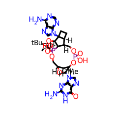 CO[C@H]1[C@H]2OP(=O)(O)OC[C@H]3[C@@H]4CCC4(n4cnc5c(N)ncnc54)C(O[Si](C)(C)C(C)(C)C)[C@@H]3P(=O)(O)OC[C@H]1O[C@H]2n1cnc2c(=O)[nH]c(N)nc21